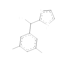 OC(c1cc(F)cc(F)c1)c1ncc[nH]1